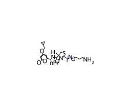 CCCC(NC(=O)C1(C)CSC(/C(C)=N/OCCCN)=N1)c1cc(OCC2CC2)cc(=O)o1